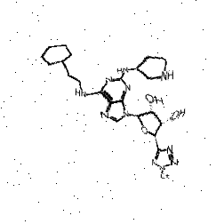 CCn1nnc([C@H]2O[C@@H](n3cnc4c(NCCC5CCCCC5)nc(NC5CCNC5)nc43)[C@H](O)[C@@H]2O)n1